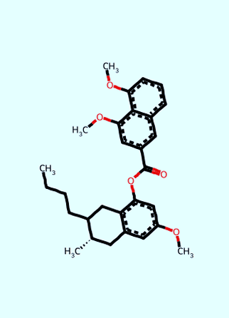 CCCCC1Cc2c(cc(OC)cc2OC(=O)c2cc(OC)c3c(OC)cccc3c2)C[C@@H]1C